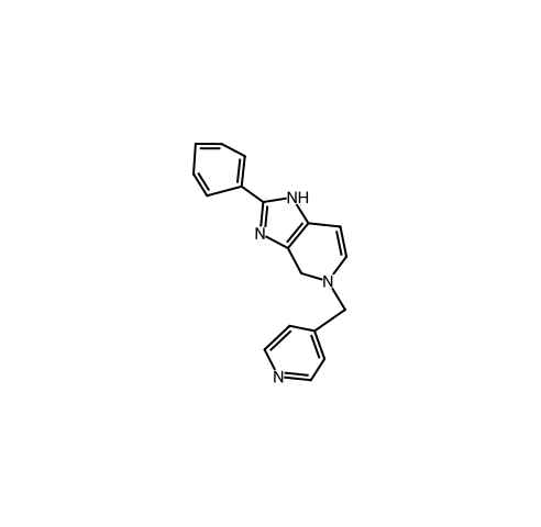 C1=CN(Cc2ccncc2)Cc2nc(-c3ccccc3)[nH]c21